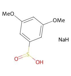 COc1cc(OC)cc(S(=O)O)c1.[NaH]